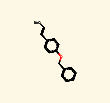 COC=Cc1ccc(OCc2ccccc2)cc1